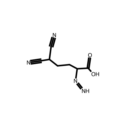 N#CC(C#N)CCC(N=N)C(=O)O